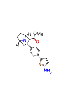 COC(=O)[C@H]1[C@@H](c2ccc(-c3ccc(N)s3)cc2)C[C@@H]2CC[C@H]1N2C